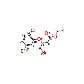 CCOC(=O)/C=C(/CBr)Oc1cc(Cl)ccc1Cl